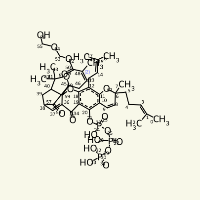 CC(C)=CCCC1(C)C=Cc2c(c(CC=C(C)C)c3c(c2OP(=O)(O)OP(=O)(O)OP(=O)(O)O)C(=O)C2=CC4CC5C(C)(C)OC(C/C=C(/C)C(=O)OCOCO)(C4=O)C25O3)O1